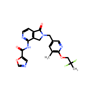 Cc1cc(CN2Cc3c(ccnc3NC(=O)c3cnco3)C2=O)cnc1OCC(C)(F)F